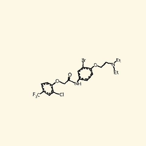 CCN(CC)CCOc1ccc(NC(=O)COc2ccc(C(F)(F)F)cc2Cl)cc1Br